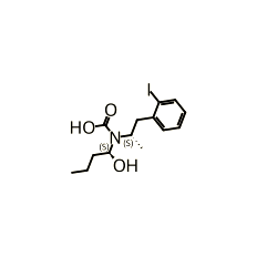 CCC[C@H](O)N(C(=O)O)[C@@H](C)Cc1ccccc1I